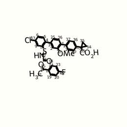 COc1cc(-c2ccc(Cl)cc2SNC(=O)O[C@H](C)c2ccc(F)cc2)ccc1-c1ccc(C2(C(=O)O)CC2)cc1